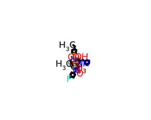 CCc1ccc(S(=O)(=O)N(C[C@@H](C)CC)C[C@@H](O)[C@H](Cc2ccccc2)NC(=O)[C@@H]2CN(c3ccc(F)cc3)C(=O)O2)cc1